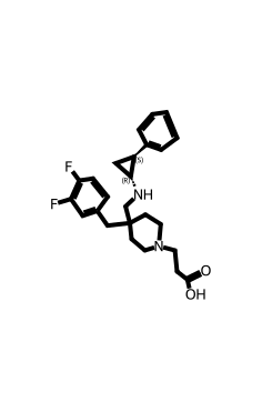 O=C(O)CCN1CCC(CN[C@@H]2C[C@H]2c2ccccc2)(Cc2ccc(F)c(F)c2)CC1